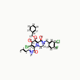 CC=CCN(C)C(=O)c1c(Br)c(=O)c(OCc2ccccc2)c2n1CCN(Cc1ccc(F)c(Cl)c1)C2=O